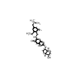 CCc1cc(CN(C)C)cc(F)c1CNc1nc2nc(O[C@@H]3CO[C@H]4[C@@H]3OC[C@H]4O)[nH]c2cc1Cl